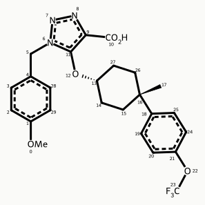 COc1ccc(Cn2nnc(C(=O)O)c2O[C@H]2CC[C@@](C)(c3ccc(OC(F)(F)F)cc3)CC2)cc1